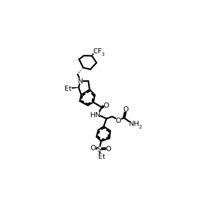 CC[C@@H]1c2ccc(C(=O)NC(COC(N)=O)c3ccc(S(=O)(=O)CC)cc3)cc2CN1C[C@H]1CC[C@H](C(F)(F)F)CC1